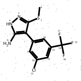 CSc1n[nH]c(N)c1-c1cc(Cl)cc(C(F)(F)F)c1